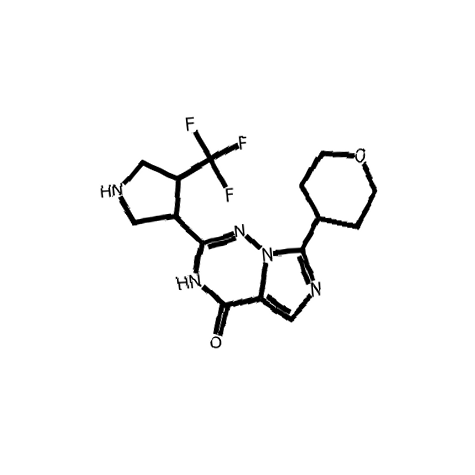 O=c1[nH]c(C2CNCC2C(F)(F)F)nn2c(C3CCOCC3)ncc12